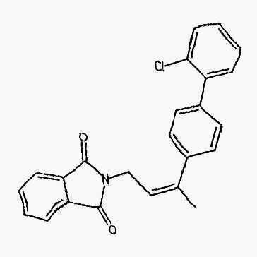 CC(=CCN1C(=O)c2ccccc2C1=O)c1ccc(-c2ccccc2Cl)cc1